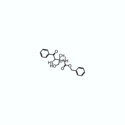 C[C@](CO)(NC(=O)OCc1ccccc1)C(S)C(=O)c1ccccc1